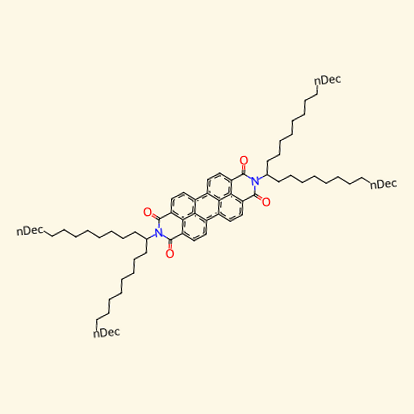 CCCCCCCCCCCCCCCCCCC(CCCCCCCCCCCCCCCCCC)N1C(=O)c2ccc3c4ccc5c6c(ccc(c7ccc(c2c37)C1=O)c64)C(=O)N(C(CCCCCCCCCCCCCCCCCC)CCCCCCCCCCCCCCCCCC)C5=O